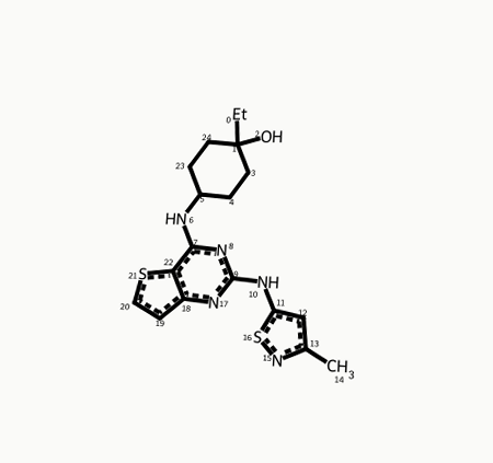 CCC1(O)CCC(Nc2nc(Nc3cc(C)ns3)nc3ccsc23)CC1